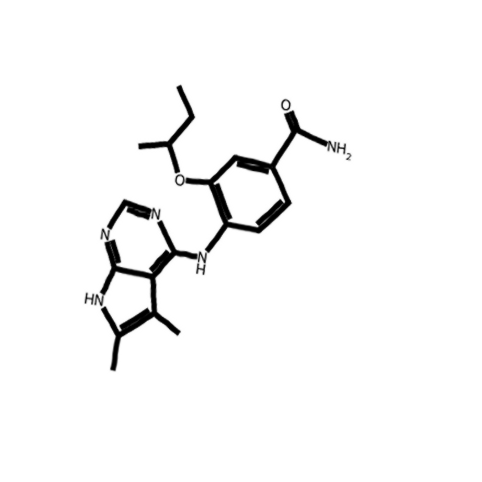 CCC(C)Oc1cc(C(N)=O)ccc1Nc1ncnc2[nH]c(C)c(C)c12